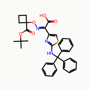 CC(C)(C)OC(=O)C1(ON=C(C(=O)O)c2csc(NC(c3ccccc3)(c3ccccc3)c3ccccc3)n2)CCC1